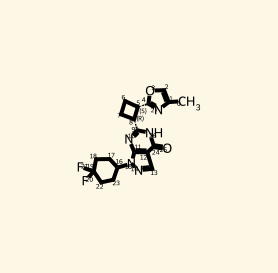 Cc1coc([C@H]2CC[C@H]2c2nc3c(cnn3C3CCC(F)(F)CC3)c(=O)[nH]2)n1